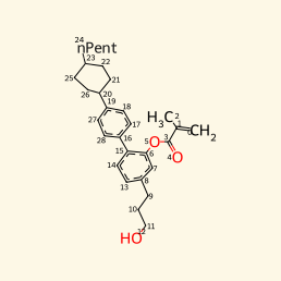 C=C(C)C(=O)Oc1cc(CCCO)ccc1-c1ccc(C2CCC(CCCCC)CC2)cc1